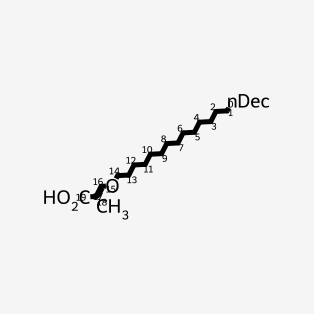 CCCCCCCCCCCCCCCCCCCCCCCCOC=C(C)C(=O)O